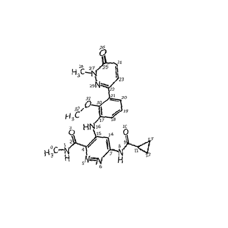 CNC(=O)c1nnc(NC(=O)C2CC2)cc1Nc1cccc(-c2ccc(=O)n(C)n2)c1OC